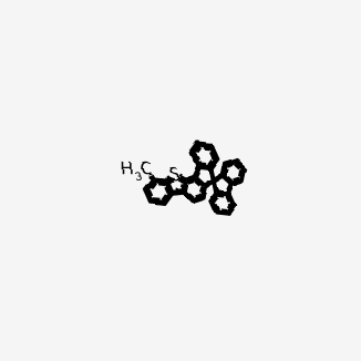 Cc1cccc2c1sc1c3c(ccc12)C1(c2ccccc2-c2ccccc21)c1ccccc1-3